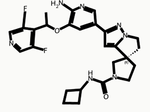 CC(Oc1cc(-c2cc3n(n2)CC[C@@]32CCN(C(=O)NC3CCC3)C2)cnc1N)c1c(F)cncc1F